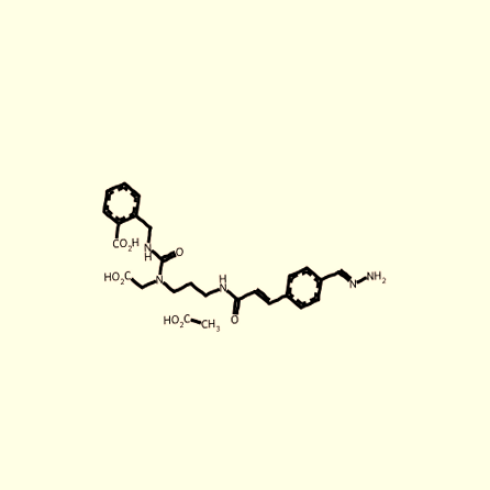 CC(=O)O.NN=Cc1ccc(C=CC(=O)NCCCN(CC(=O)O)C(=O)NCc2ccccc2C(=O)O)cc1